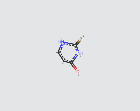 O=c1[c]c[nH]c(=S)[nH]1